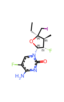 CC[C@@]1(CI)O[C@@H](n2cc(F)c(N)nc2=O)[C@@H](F)[C@@H]1C